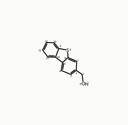 OCc1ccc2c(c1)sc1ccccc12